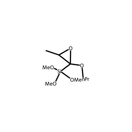 CCCOC1([Si](OC)(OC)OC)OC1C